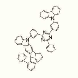 c1ccc(-c2nc(-c3cccc(-n4c5ccccc5c5ccccc54)c3)nc(-c3cccc(-n4c5ccccc5c5cc6c(cc54)-c4ccccc4C64c5ccccc5-c5ccccc54)c3)n2)cc1